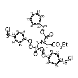 CCOC(=O)CN(CP(=O)(OOc1ccc(SCl)cc1)OOc1ccc(SCl)cc1)C(=O)OCc1ccccc1